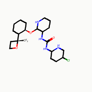 O=C(NC1CCC(Cl)CN1)NC1CCCNC1O[C@@H]1CCCCC1[C@@]1(C(F)(F)F)CCO1